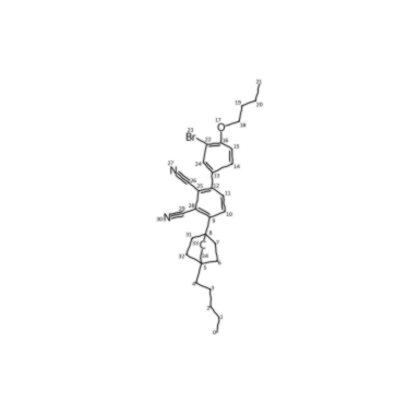 CCCCCC12CCC(c3ccc(-c4ccc(OCCCC)c(Br)c4)c(C#N)c3C#N)(CC1)CC2